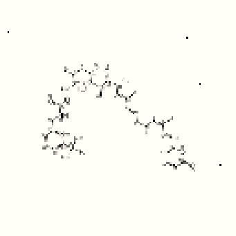 CC(=C/[C@H](C)C/C=C/C(C)=C/[C@@H](C)C(=O)[C@@H](C)[C@H](O)[C@@H](C)C/C(C)=C/COC(=O)NCc1cccc(C(F)(F)F)n1)/C=C/[C@H]1CC=CC(=O)O1